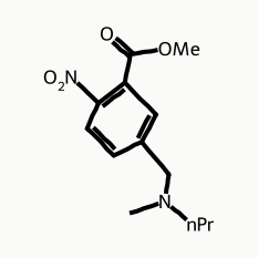 CCCN(C)Cc1ccc([N+](=O)[O-])c(C(=O)OC)c1